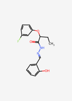 CCC(Oc1cccc(F)c1)C(=O)NN=Cc1ccccc1O